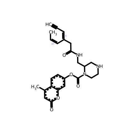 C#C/C=C(\C=C/C)CC(=O)NCC1CNCCN1C(=O)Oc1ccc2c(C)cc(=O)oc2c1